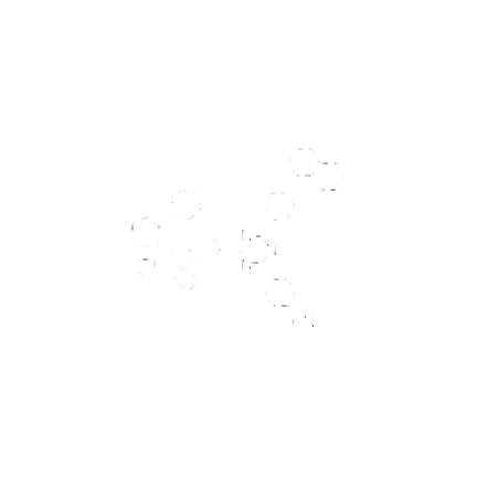 N#Cc1ccc(-c2nc(-c3ccc(-c4cccc5ccccc45)cc3)nc(-c3ccc4c(c3)-c3ccccc3-c3ccccc3C43c4ccccc4-c4ccccc43)n2)cc1